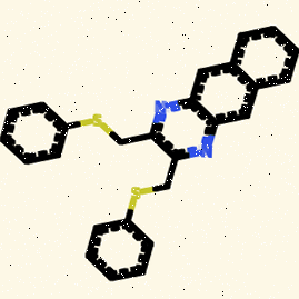 c1ccc(SCc2nc3cc4ccccc4cc3nc2CSc2ccccc2)cc1